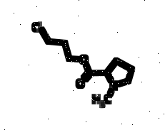 CN1CCCC1C(=O)OCCCCl